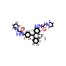 O=C(CN1CCCC1)Nc1ccc(C(c2ccc(NC(=O)CN3CCCC3)cc2)c2ccccc2C(F)(F)F)cc1